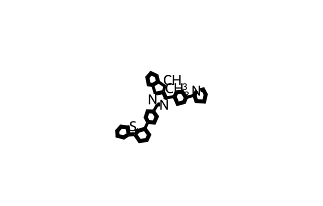 CC1(C)c2ccccc2-c2nc(-c3ccc(-c4cccc5c4sc4ccccc45)cc3)nc(-c3ccc(-c4ccccn4)cc3)c21